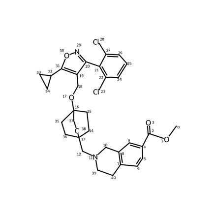 COC(=O)c1ccc2c(c1)CN(CC13CCC(OCc4c(-c5c(Cl)cccc5Cl)noc4C4CC4)(CC1)CC3)CC2